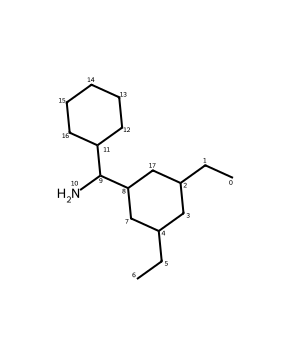 CCC1CC(CC)CC(C(N)C2CCCCC2)C1